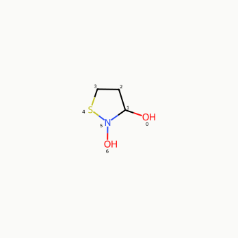 OC1CCSN1O